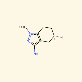 Nc1nn(C=O)c2c1C[C@@H](I)CC2